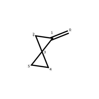 C=C1[CH]C12CC2